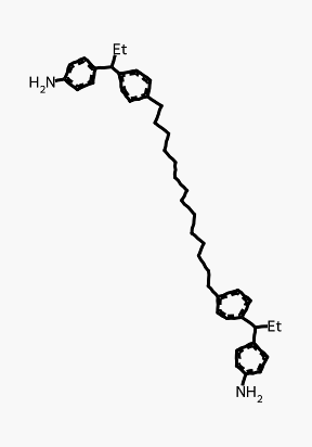 CCC(c1ccc(N)cc1)c1ccc(CCCCCCCCCCCCCCc2ccc(C(CC)c3ccc(N)cc3)cc2)cc1